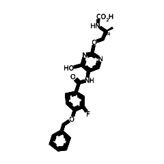 C[C@@H](COc1ncc(NC(=O)c2ccc(OCc3ccccc3)c(F)c2)c(O)n1)NC(=O)O